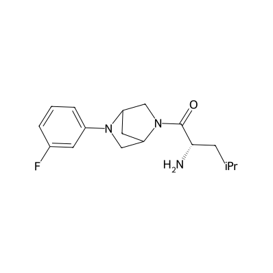 CC(C)C[C@H](N)C(=O)N1CC2CC1CN2c1cccc(F)c1